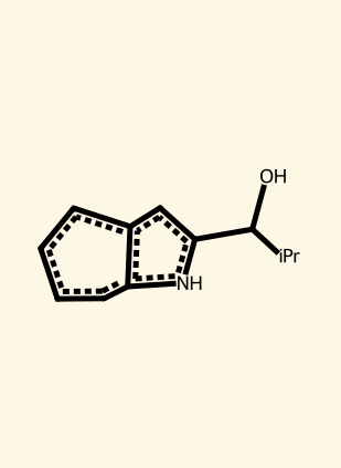 CC(C)C(O)c1cc2ccccc2[nH]1